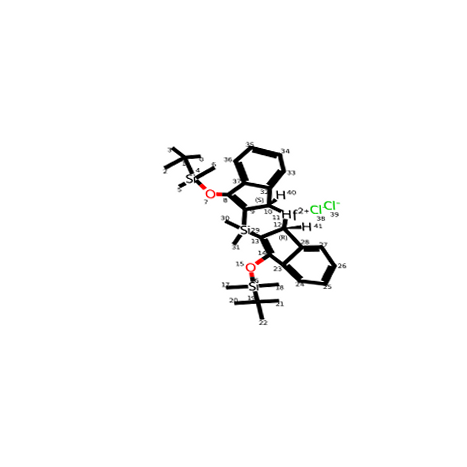 CC(C)(C)[Si](C)(C)OC1=C2[C@@H]([Hf+2][C@H]3C(=C(O[Si](C)(C)C(C)(C)C)c4ccccc43)[Si]2(C)C)c2ccccc21.[Cl-].[Cl-]